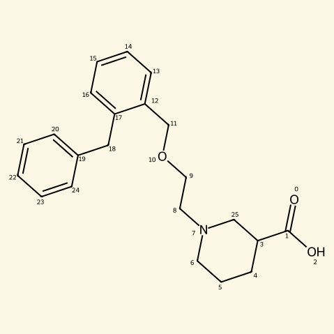 O=C(O)C1CCCN(CCOCc2ccccc2Cc2ccccc2)C1